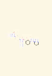 CC(=O)NC1CCC(NC(=O)c2cccc3c2OCCN3c2ccc(C)cn2)CC1